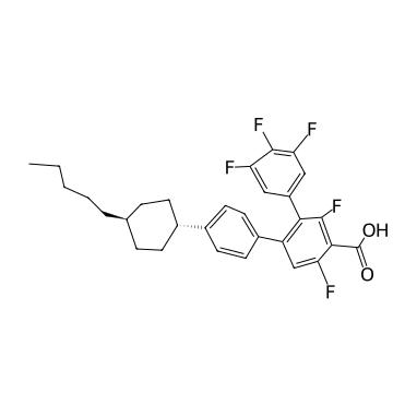 CCCCC[C@H]1CC[C@H](c2ccc(-c3cc(F)c(C(=O)O)c(F)c3-c3cc(F)c(F)c(F)c3)cc2)CC1